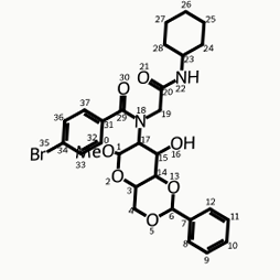 COC1OC2COC(c3ccccc3)OC2C(O)C1N(CC(=O)NC1CCCCC1)C(=O)c1ccc(Br)cc1